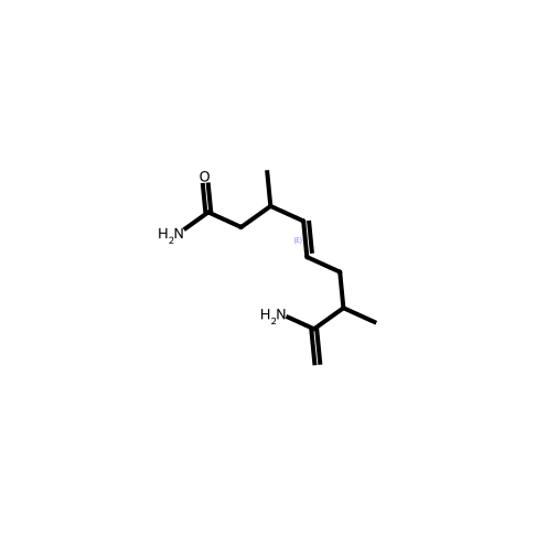 C=C(N)C(C)C/C=C/C(C)CC(N)=O